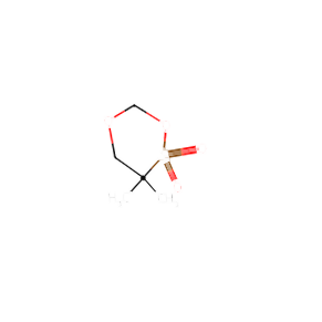 CC1(C)COCOS1(=O)=O